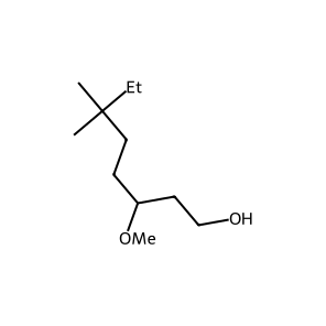 CCC(C)(C)CCC(CCO)OC